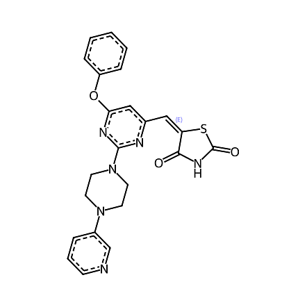 O=C1NC(=O)/C(=C\c2cc(Oc3ccccc3)nc(N3CCN(c4cccnc4)CC3)n2)S1